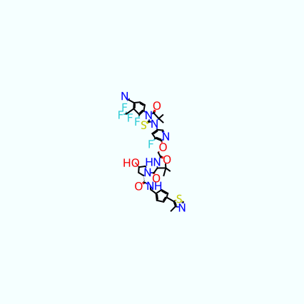 Cc1ncsc1-c1ccc(CNC(=O)[C@@H]2C[C@@H](O)CN2C(=O)[C@@H](NC(=O)COc2ncc(N3C(=S)N(c4ccc(C#N)c(C(F)(F)F)c4F)C(=O)C3(C)C)cc2F)C(C)(C)C)cc1